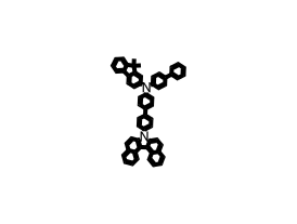 CC1(C)c2ccccc2-c2ccc(N(c3ccc(-c4ccccc4)cc3)c3ccc(-c4ccc(-n5c6ccc7ccccc7c6c6c7ccccc7ccc65)cc4)cc3)cc21